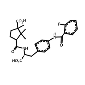 CC1(C(=O)O)CCC(C(=O)N[C@@H](Cc2ccc(NC(=O)c3ccccc3F)cc2)C(=O)O)C1(C)C